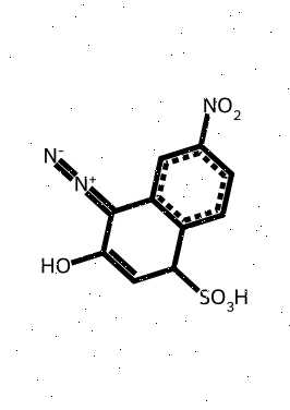 [N-]=[N+]=C1C(O)=CC(S(=O)(=O)O)c2ccc([N+](=O)[O-])cc21